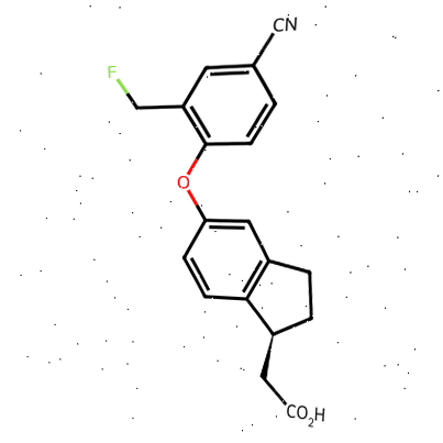 N#Cc1ccc(Oc2ccc3c(c2)CC[C@H]3CC(=O)O)c(CF)c1